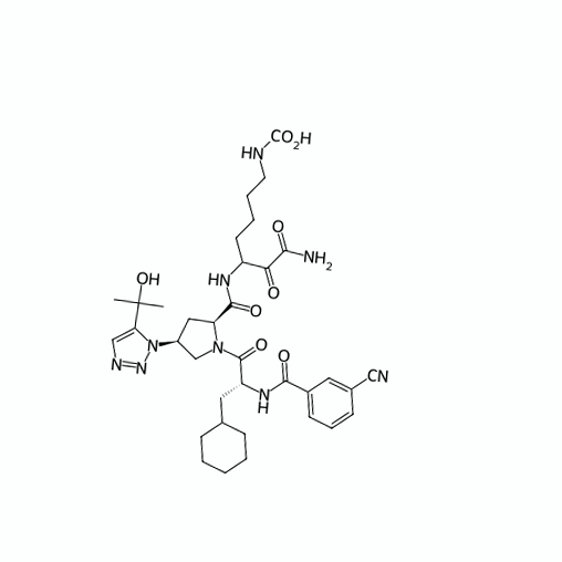 CC(C)(O)c1cnnn1[C@H]1C[C@@H](C(=O)NC(CCCCNC(=O)O)C(=O)C(N)=O)N(C(=O)[C@@H](CC2CCCCC2)NC(=O)c2cccc(C#N)c2)C1